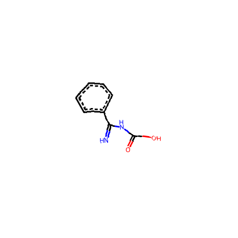 N=C(NC(=O)O)c1ccccc1